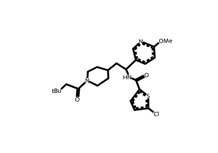 COc1ccc(C(CC2CCN(C(=O)CC(C)(C)C)CC2)NC(=O)c2ccc(Cl)s2)cn1